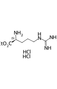 CCOC(=O)[C@@H](N)CCCNC(=N)N.Cl.Cl